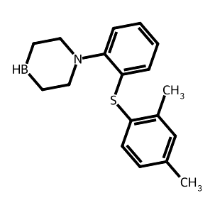 Cc1ccc(Sc2ccccc2N2CCBCC2)c(C)c1